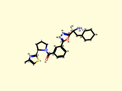 Cc1csc([C@H]2CCCN2C(=O)c2cccc(-c3nnc([C@@](C)(N)CC4CCCCC4)o3)c2)n1